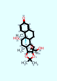 CC1(C)O[C@@H]2CC3C4CCC5=CC(=O)C=C[C@]5(C)[C@@]4(F)[C@@H](O)C[C@]3(C)[C@]2(C(=O)CO)O1